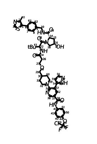 Cc1ncsc1-c1ccc(CNC(=O)[C@@H]2C[C@@H](O)CN2C(=O)C(NC(=O)CCOCC2CCN(c3ncc(C(=O)Nc4ccc(OC(F)(F)Cl)cc4)cc3-c3ccn[nH]3)CC2)C(C)(C)C)cc1